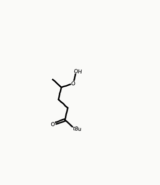 CC(CCC(=O)C(C)(C)C)OO